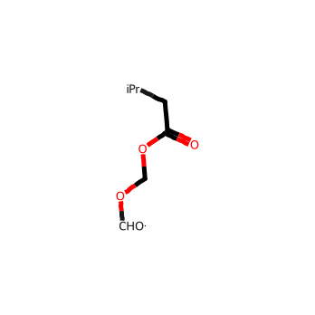 CC(C)CC(=O)OCO[C]=O